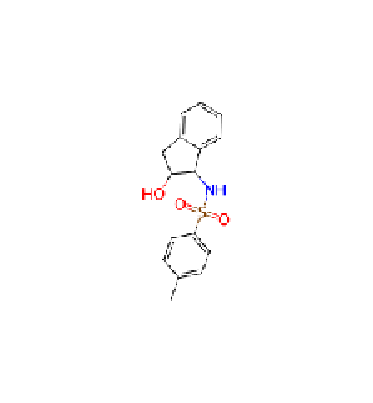 Cc1ccc(S(=O)(=O)NC2c3ccccc3CC2O)cc1